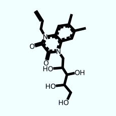 C=CCn1c(=O)c(=O)n(CC(O)C(O)C(O)CO)c2cc(C)c(C)cc21